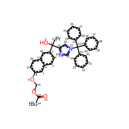 CC(C)C(O)(c1ccc2cc(OCOC(=O)C(C)(C)C)ccc2c1)c1cn(C(c2ccccc2)(c2ccccc2)c2ccccc2)cn1